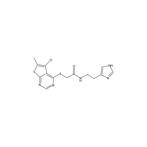 Cc1sc2ncnc(SCC(=O)NCCc3c[nH]cn3)c2c1Cl